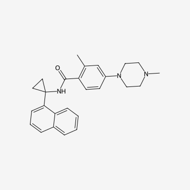 Cc1cc(N2CCN(C)CC2)ccc1C(=O)NC1(c2cccc3ccccc23)CC1